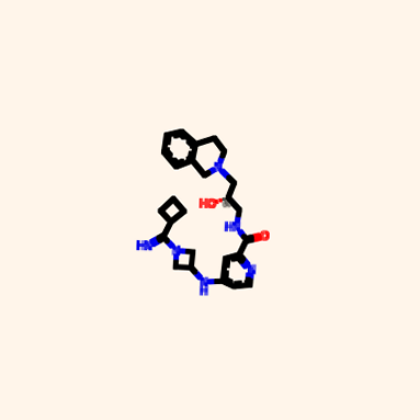 N=C(C1CCC1)N1CC(Nc2ccnc(C(=O)NC[C@H](O)CN3CCc4ccccc4C3)c2)C1